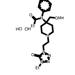 CCC(=O)N(c1ccccc1)C1(COC)CCN(CCn2nnn(CC)c2=O)CC1.Cl.Cl